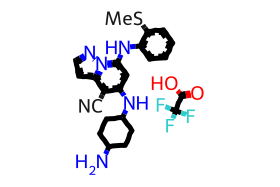 CSc1ccccc1Nc1cc(NC2CCC(N)CC2)c(C#N)c2ccnn12.O=C(O)C(F)(F)F